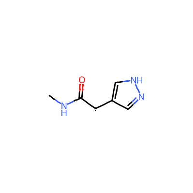 CNC(=O)[CH]c1cn[nH]c1